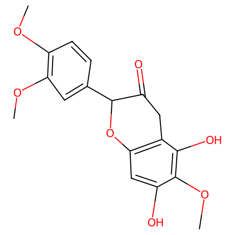 COc1ccc(C2Oc3cc(O)c(OC)c(O)c3CC2=O)cc1OC